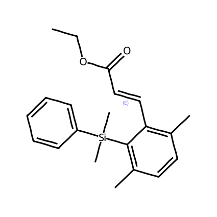 CCOC(=O)/C=C/c1c(C)ccc(C)c1[Si](C)(C)c1ccccc1